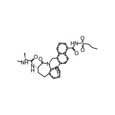 CCCS(=O)(=O)NC(=O)c1cccc2c(CN3C(=O)[C@@H](NC(=O)[C@H](C)NC)CCc4ccccc43)c(OC)ccc12